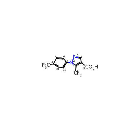 O=C(O)c1cnn(-c2ccc(C(F)(F)F)cc2)c1C(F)(F)F